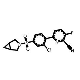 N#Cc1nc(-c2ccc(S(=O)(=O)N3CC4CC4C3)cc2Cl)ccc1F